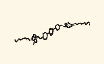 CCCCCCCC[C@@H]1CO[C@@H](CCC2CCC(c3ccc(C4CCC(CC[C@@H]5OC[C@@H](CCCCCCCC)C(C)O5)CC4)cc3)CC2)OC1C